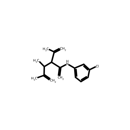 C=C(C)C(C)C(C(=C)C)C(=C)Nc1cccc(Cl)c1